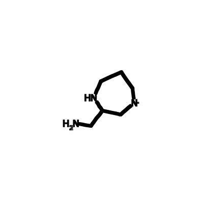 NCC1C[N]CCCN1